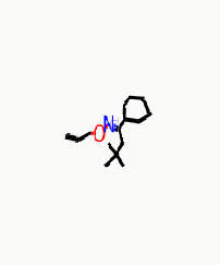 C=CCO/N=C(\CC(C)(C)C)C1CCCCC1